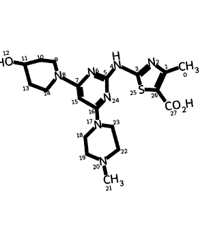 Cc1nc(Nc2nc(N3CCC(O)CC3)cc(N3CCN(C)CC3)n2)sc1C(=O)O